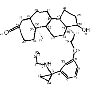 CC(C)CNC1(c2cccc(OCC[C@]34CCC5C(CCC6CC(=O)CC[C@@]65C)C3CCC4O)c2)CC1